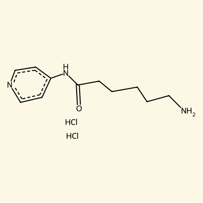 Cl.Cl.NCCCCCC(=O)Nc1ccncc1